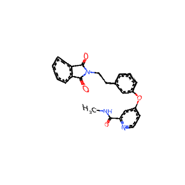 CNC(=O)c1cc(Oc2cccc(CCN3C(=O)c4ccccc4C3=O)c2)ccn1